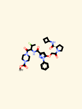 CCCOC(=O)N1CCN(C(=O)C(NC(=O)c2cc(OCC(=O)N3CCC[C@H]3C(=O)NC3CCC3)n(-c3ccccc3)n2)C(C)F)CC1